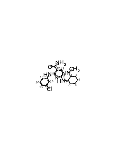 C=N[C@H]1CCCC[C@H]1Nc1ncc(C(N)=O)c(Nc2cccc(Cl)c2)n1